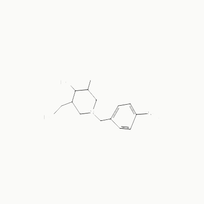 O=[N+]([O-])c1ccc(CN2CC(O)C(O)C(CO)C2)cc1